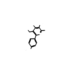 COc1ccc(-c2nc(C)c(C#N)c(S)c2CO)cc1